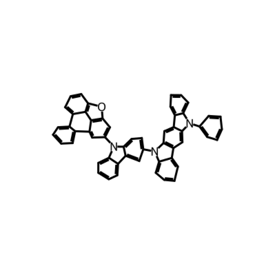 c1ccc(-n2c3ccccc3c3cc4c(cc32)c2ccccc2n4-c2ccc3c(c2)c2ccccc2n3-c2cc3oc4cccc5c6ccccc6c(c2)c3c45)cc1